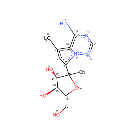 Cc1cc(C2(C#N)O[C@H](CO)[C@@H](O)[C@H]2O)n2ncnc(N)c12